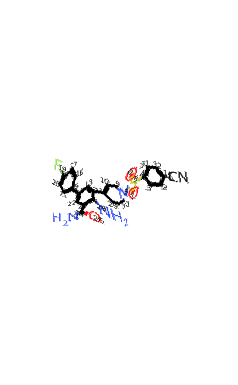 N#Cc1ccc(S(=O)(=O)N2CC=C(c3cc(-c4ccc(F)cc4)cc(C(N)=O)c3N)CC2)cc1